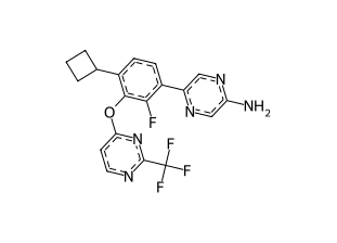 Nc1cnc(-c2ccc(C3CCC3)c(Oc3ccnc(C(F)(F)F)n3)c2F)cn1